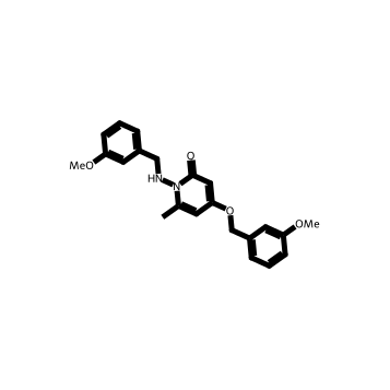 COc1cccc(CNn2c(C)cc(OCc3cccc(OC)c3)cc2=O)c1